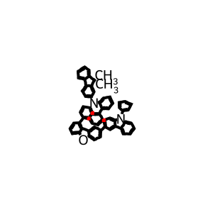 CC1(C)c2ccccc2-c2ccc(N(c3ccc(-c4cccc5oc6ccc(-c7ccc8c(c7)c7ccccc7n8-c7ccccc7)cc6c45)cc3)c3ccccc3-c3ccccc3)cc21